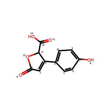 O=C1C=C(c2ccc(O)cc2)C(C(=O)O)O1